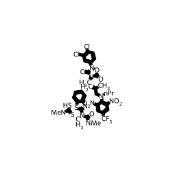 C=C(C)CN(CCC)c1c([N+](=O)[O-])cc(C(F)(F)F)cc1[N+](=O)[O-].CNC(=O)N(C)c1nc2ccccc2s1.CNC(=S)S.Cn1c(=O)on(-c2ccc(Cl)c(Cl)c2)c1=O